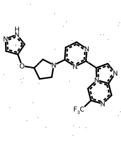 FC(F)(F)c1cn2c(-c3nccc(N4CCC(Oc5cn[nH]c5)C4)n3)cnc2cn1